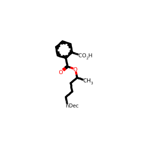 CCCCCCCCCCCCCC(C)OC(=O)c1ccccc1C(=O)O